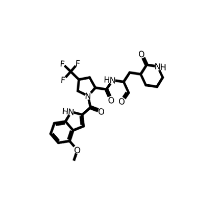 COc1cccc2[nH]c(C(=O)N3CC(C(F)(F)F)CC3C(=O)NC(C=O)CC3CCCNC3=O)cc12